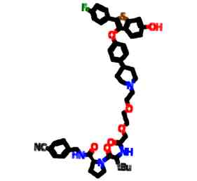 CC(C)(C)C(NC(=O)COCCOCCN1CCC(c2ccc(Oc3c(-c4ccc(F)cc4)sc4cc(O)ccc34)cc2)CC1)C(=O)N1CCC[C@H]1C(=O)NCc1ccc(C#N)cc1